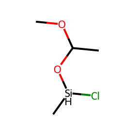 COC(C)O[SiH](C)Cl